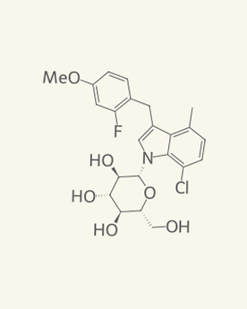 COc1ccc(Cc2cn([C@@H]3O[C@H](CO)[C@@H](O)[C@H](O)[C@H]3O)c3c(Cl)ccc(C)c23)c(F)c1